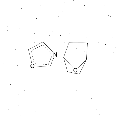 C1CC2CCC1O2.c1cocn1